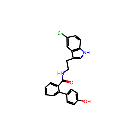 O=C(NCCc1c[nH]c2ccc(Cl)cc12)c1ccccc1-c1ccc(O)cc1